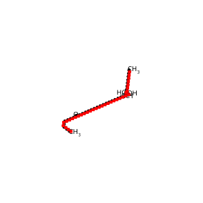 CCCCC/C=C\C/C=C\CCCCCCCC(=O)CCCCCCCCCCCCCCCCCCCCCCCCCCCCCCCONC(CO)C(O)/C=C/CCCCCCCCCCCCC